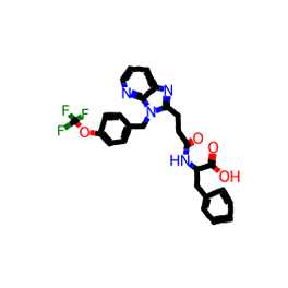 O=C(CCc1nc2cccnc2n1Cc1ccc(OC(F)(F)F)cc1)NC(Cc1ccccc1)C(=O)O